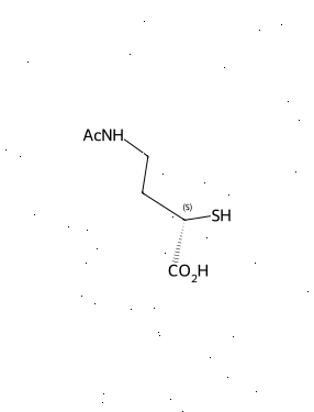 CC(=O)NCC[C@H](S)C(=O)O